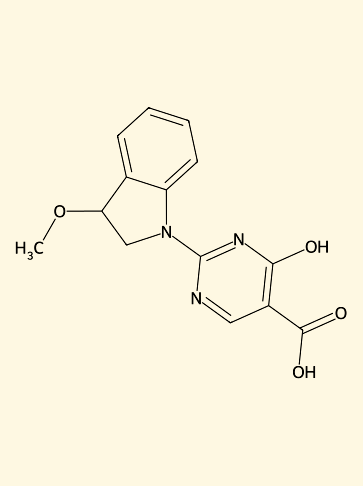 COC1CN(c2ncc(C(=O)O)c(O)n2)c2ccccc21